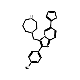 N#Cc1ccc(-c2nc3ccc(-c4cccs4)cn3c2CN2CCCNCC2)cc1